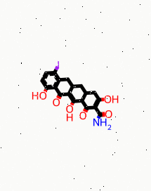 NC(=O)C1=C(O)CC2CC3Cc4c(I)ccc(O)c4C(=O)C3=C(O)C2C1=O